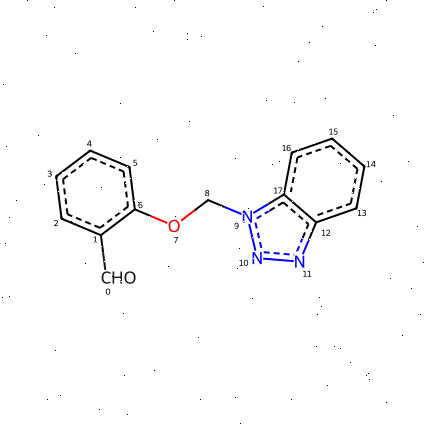 O=Cc1ccccc1OCn1nnc2ccccc21